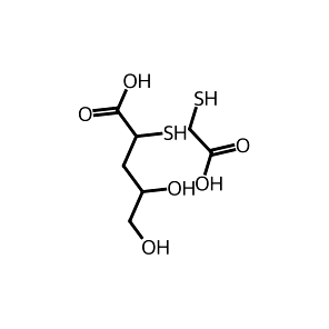 O=C(O)C(S)CC(O)CO.O=C(O)CS